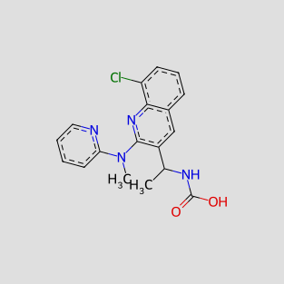 CC(NC(=O)O)c1cc2cccc(Cl)c2nc1N(C)c1ccccn1